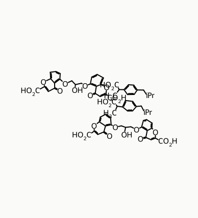 CC(C)Cc1ccc(C(C)C(=O)O)cc1.CC(C)Cc1ccc(C(C)C(=O)O)cc1.O=C(O)c1cc(=O)c2c(OCC(O)COc3cccc4oc(C(=O)O)cc(=O)c34)cccc2o1.O=C(O)c1cc(=O)c2c(OCC(O)COc3cccc4oc(C(=O)O)cc(=O)c34)cccc2o1